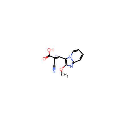 COc1nc2ccccn2c1/C=C(\C#N)C(=O)O